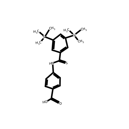 C[Si](C)(C)c1cc(C(=S)Nc2ccc(C(=O)O)cc2)cc([Si](C)(C)C)c1